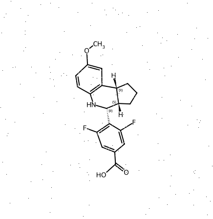 COc1ccc2c(c1)[C@@H]1CCC[C@@H]1[C@H](c1c(F)cc(C(=O)O)cc1F)N2